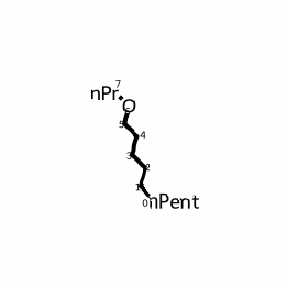 [CH2]CCCCCCCCCOCCC